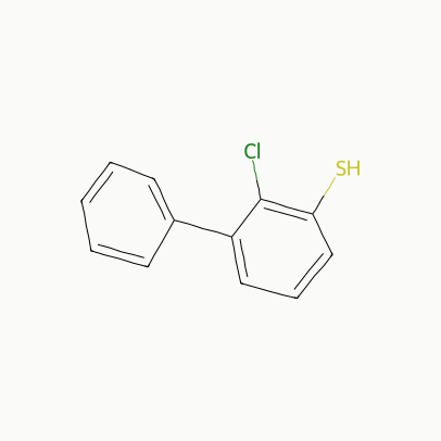 Sc1cccc(-c2ccccc2)c1Cl